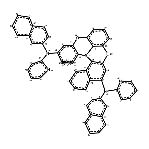 c1ccc(N(c2ccc3ccccc3c2)c2cc3c(c4ccccc24)B2c4c(cccc4Oc4cc(N(c5ccc6ccccc6c5)c5ccccn5)c5ccccc5c42)O3)nc1